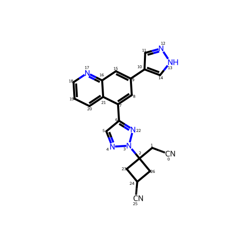 N#CCC1(n2ncc(-c3cc(-c4cn[nH]c4)cc4ncccc34)n2)CC(C#N)C1